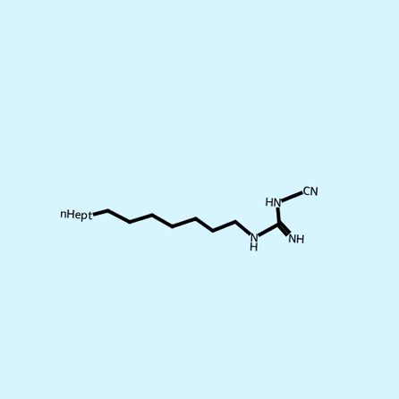 CCCCCCCCCCCCCCNC(=N)NC#N